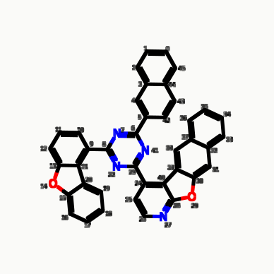 c1ccc2cc(-c3nc(-c4cccc5oc6ccccc6c45)nc(-c4ccnc5oc6cc7ccccc7cc6c45)n3)ccc2c1